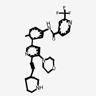 Cc1ccc(NC(=O)c2ccnc(C(F)(F)F)c2)cc1-c1cnc(C#CC2CCCNC2)c(N2CCOCC2)c1